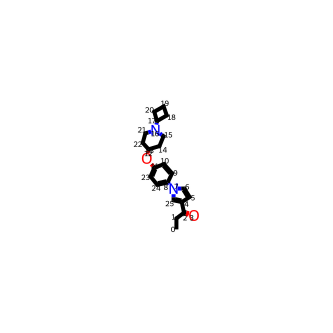 CCC(=O)c1ccn(-c2ccc(OC3CCN(C4CCC4)CC3)cc2)c1